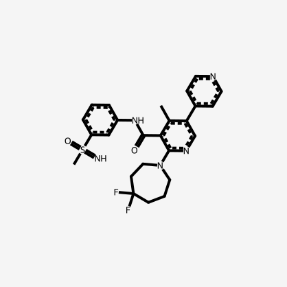 Cc1c(-c2ccncc2)cnc(N2CCCC(F)(F)CC2)c1C(=O)Nc1cccc(S(C)(=N)=O)c1